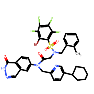 Cc1ccccc1CN(CC(=O)N(Cc1ccc(C2CCCCC2)cn1)c1ccc2c(=O)[nH]ncc2c1)S(=O)(=O)c1c(F)c(F)c(F)c(F)c1Br